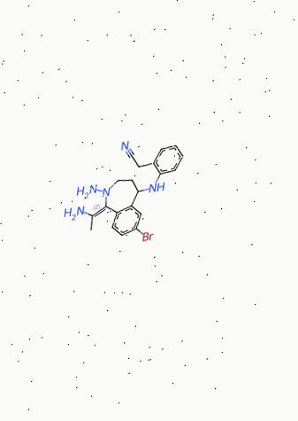 C/C(N)=C1\c2ccc(Br)cc2C(Nc2ccccc2CC#N)CCN1N